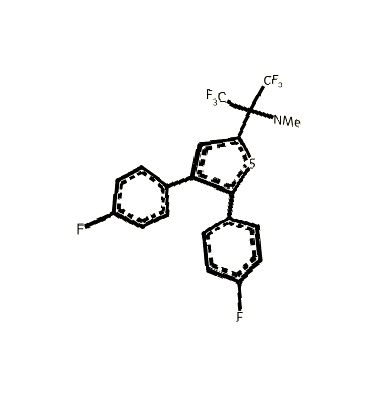 CNC(c1cc(-c2ccc(F)cc2)c(-c2ccc(F)cc2)s1)(C(F)(F)F)C(F)(F)F